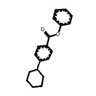 O=C(Oc1ccccc1)c1ccc(C2CCCCC2)cc1